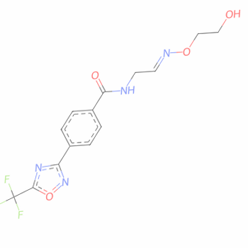 O=C(NCC=NOCCO)c1ccc(-c2noc(C(F)(F)F)n2)cc1